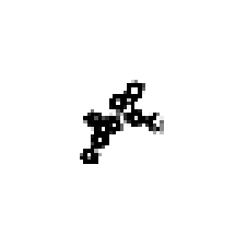 c1ccc2c(c1)oc1cc3c4ccc(N(c5ccc(-c6cncnc6)cc5)c5cccc6c5sc5ccccc56)cc4c4ccccc4c3cc12